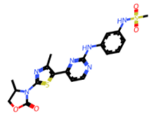 Cc1nc(N2C(=O)OCC2C)sc1-c1ccnc(Nc2cccc(NS(C)(=O)=O)c2)n1